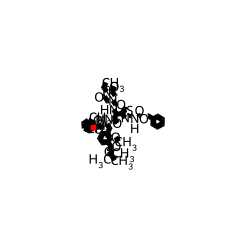 CCN1C(=O)CN(C(=O)NC(C(=O)NC(Cc2cccc(C(=O)OC(C)(C)C)c2OC)B2OC3CC4CC(C4(C)C)[C@]3(C)O2)c2csc(NC(=O)OCc3ccccc3)n2)CC1=O